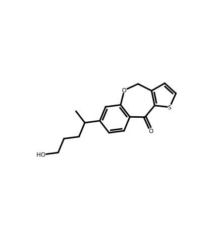 CC(CCCO)c1ccc2c(c1)OCc1ccsc1C2=O